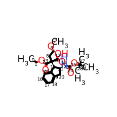 CCOC(=O)C(CCOC)(C(=O)O)[C@@H]1c2ccccc2C[C@H]1NC(=O)OC(C)(C)C